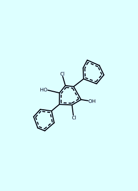 Oc1c(Cl)c(-c2ccccc2)c(O)c(Cl)c1-c1ccccc1